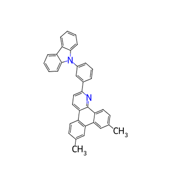 Cc1ccc2c(c1)c1cc(C)ccc1c1nc(-c3cccc(-n4c5ccccc5c5ccccc54)c3)ccc21